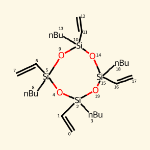 C=C[Si]1(CCCC)O[Si](C=C)(CCCC)O[Si](C=C)(CCCC)O[Si](C=C)(CCCC)O1